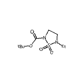 CCN1CCN(C(=O)OC(C)(C)C)S1(=O)=O